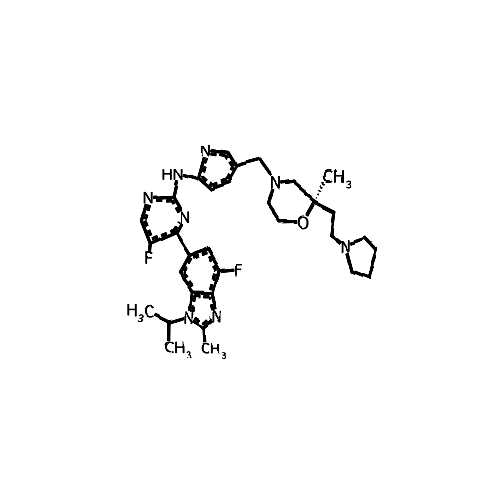 Cc1nc2c(F)cc(-c3nc(Nc4ccc(CN5CCO[C@](C)(CCN6CCCC6)C5)cn4)ncc3F)cc2n1C(C)C